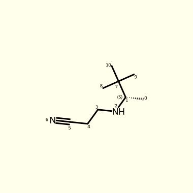 C[C@H](NCCC#N)C(C)(C)C